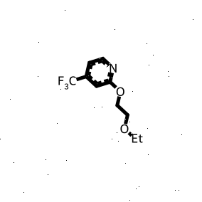 CCOCCOc1cc(C(F)(F)F)ccn1